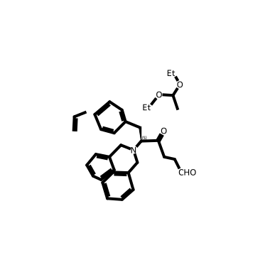 C=CC.CCOC(C)OCC.O=CCCC(=O)[C@H](Cc1ccccc1)N(Cc1ccccc1)Cc1ccccc1